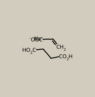 C=CC(=O)[O-].O=C(O)CCC(=O)O.[Na+]